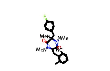 CNN1C(=O)C(Cc2ccc(F)cc2)(NC)N(NC)C(=O)C1Cc1c(C)cccc1C#N